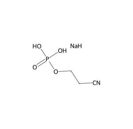 N#CCCOP(=O)(O)O.[NaH]